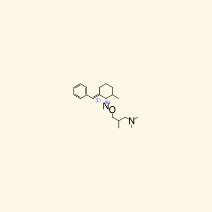 CC(CO/N=C1/C(=C/c2ccccc2)CCCC1C)CN(C)C